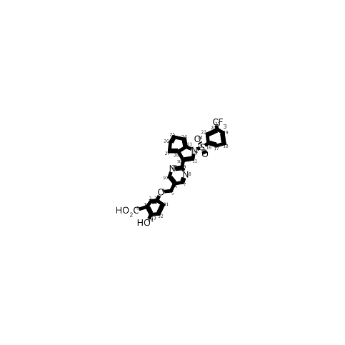 O=C(O)c1cc(OCc2cnc(-c3cn(S(=O)(=O)c4cccc(C(F)(F)F)c4)c4ccccc34)nc2)ccc1O